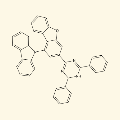 c1ccc(C2=NC(c3cc(-n4c5ccccc5c5ccccc54)c4c(c3)oc3ccccc34)=NC(c3ccccc3)N2)cc1